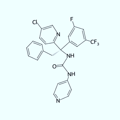 O=C(Nc1ccncc1)N[C@](Cc1ccccc1)(c1cc(F)cc(C(F)(F)F)c1)c1ccc(Cl)cn1